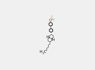 CCCCCCC1CC[C@@H]2C[C@H](c3ccc(-c4ccc(OC(F)F)cc4)cc3)CC[C@@H]2C1